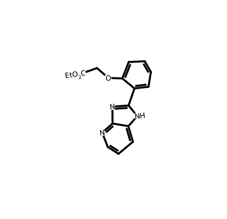 CCOC(=O)COc1ccccc1-c1nc2ncccc2[nH]1